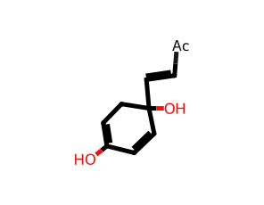 CC(=O)C=CC1(O)C=CC(O)=CC1